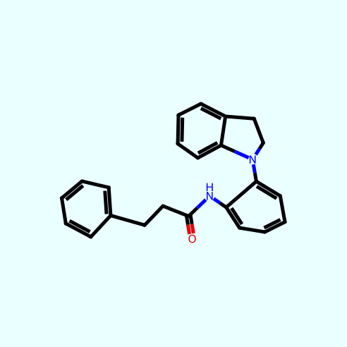 O=C(CCc1ccccc1)Nc1ccccc1N1CCc2ccccc21